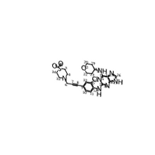 O=S1(=O)CCN(CC#Cc2ccc(Nc3nc(NC4CCOCC4)c4nc[nH]c4n3)c(Cl)c2)CC1